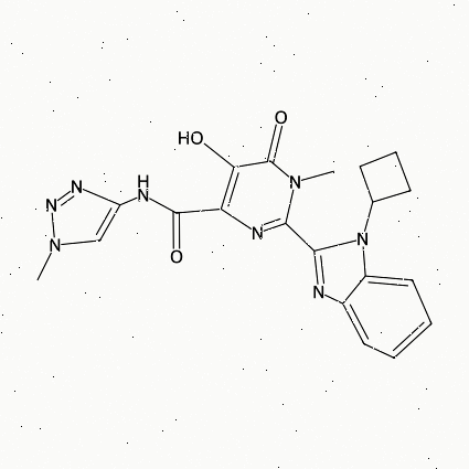 Cn1cc(NC(=O)c2nc(-c3nc4ccccc4n3C3CCC3)n(C)c(=O)c2O)nn1